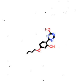 CCCCOc1ccc(-c2ncnc(O)n2)c(O)c1